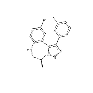 Cc1cccc(-c2nnc3n2-c2cc(Br)ccc2NC[C@@H]3C)n1